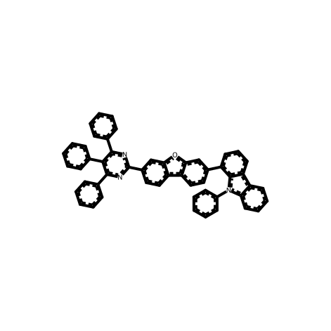 c1ccc(-c2nc(-c3ccc4c(c3)oc3cc(-c5cccc6c7ccccc7n(-c7ccccc7)c56)ccc34)nc(-c3ccccc3)c2-c2ccccc2)cc1